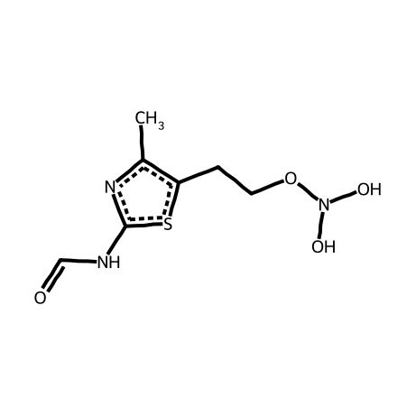 Cc1nc(NC=O)sc1CCON(O)O